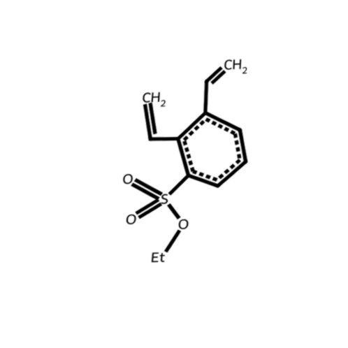 C=Cc1cccc(S(=O)(=O)OCC)c1C=C